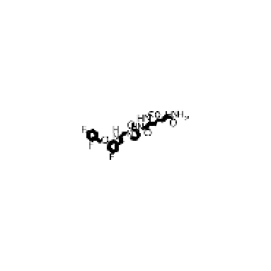 NC(=O)C=CCCC(NC(=O)O)C(=O)Nc1cccn(Cc2cc3cc(F)cc(OCc4ccc(F)cc4F)c3[nH]2)c1=O